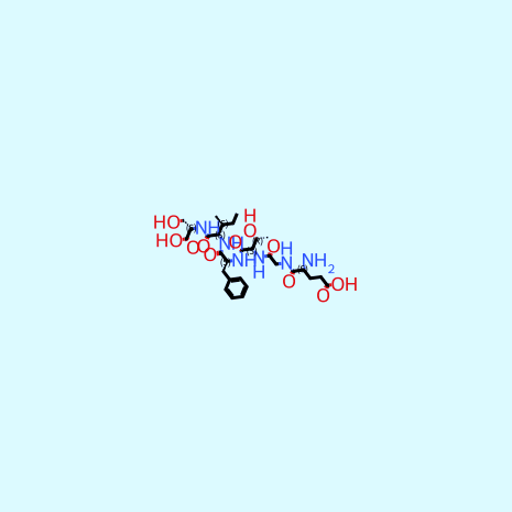 CC[C@H](C)[C@H](NC(=O)[C@H](Cc1ccccc1)NC(=O)[C@@H](NC(=O)CNC(=O)[C@@H](N)CCC(=O)O)[C@@H](C)O)C(=O)N[C@@H](CO)C(=O)O